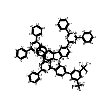 FC(F)(F)c1cc(-c2ccc(-c3nc(-c4ccccc4)nc(-c4ccccc4)n3)c(-n3c4ccc(-c5nc(-c6ccccc6)nc(-c6ccccc6)n5)cc4c4cc(-c5nc(-c6ccccc6)nc(-c6ccccc6)n5)ccc43)c2)cc(C(F)(F)F)c1